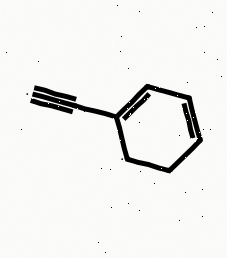 [C]#CC1=CC=CC[CH]1